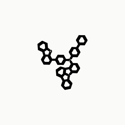 c1ccc(-c2ccc(N(c3ccc(-c4cccc5c4oc4ccccc45)cc3)c3cccc4c3c3cccc5c6ccccc6n4c53)cc2)cc1